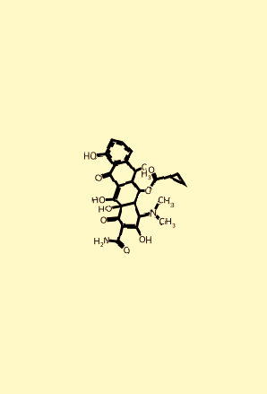 CC1c2cccc(O)c2C(=O)C2=C(O)C3(O)C(=O)C(C(N)=O)=C(O)C(N(C)C)C3C(OC(=O)C3CC3)C21